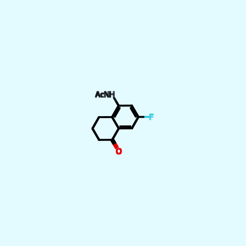 CC(=O)Nc1cc(F)cc2c1CCCC2=O